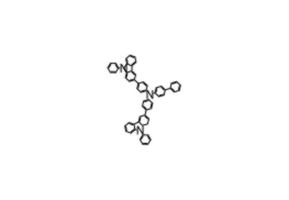 C1=C(c2ccc(N(c3ccc(-c4ccccc4)cc3)c3ccc(-c4ccc5c(c4)c4ccccc4n5-c4ccccc4)cc3)cc2)C=C2c3ccccc3N(c3ccccc3)C2C1